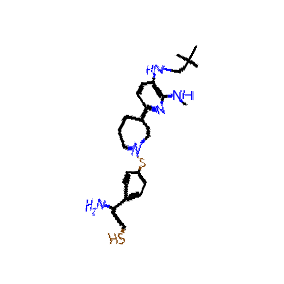 CNc1nc(C2CCCN(Sc3ccc(/C(N)=C/S)cc3)C2)ccc1NCC(C)(C)C